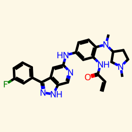 C=CC(=O)Nc1cc(Nc2cc3c(-c4cccc(F)c4)n[nH]c3cn2)ccc1N(C)C1CCN(C)C1